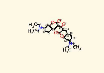 CCN(CC)c1ccc2cc(C(=O)c3cc4ccc(N(CC)CC)cc4oc3=O)c(=O)oc2c1